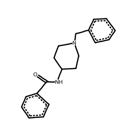 O=C(NC1CCN(Cc2ccccc2)CC1)c1cc[c]cc1